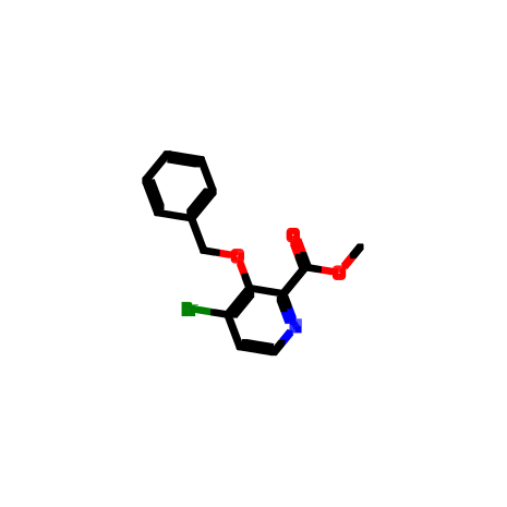 COC(=O)c1nccc(Br)c1OCc1ccccc1